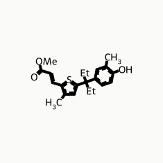 CCC(CC)(c1ccc(O)c(C)c1)c1cc(C)c(C=CC(=O)OC)s1